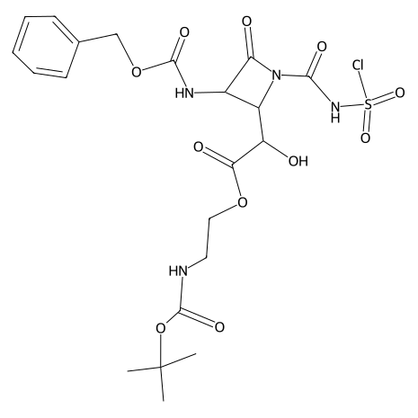 CC(C)(C)OC(=O)NCCOC(=O)C(O)C1C(NC(=O)OCc2ccccc2)C(=O)N1C(=O)NS(=O)(=O)Cl